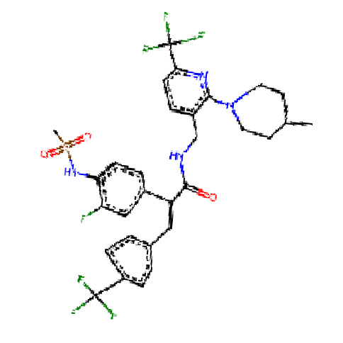 CC1CCN(c2nc(C(F)(F)F)ccc2CNC(=O)C(Cc2ccc(C(F)(F)F)cc2)c2ccc(NS(C)(=O)=O)c(F)c2)CC1